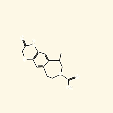 CC1CN(C(=O)O)CCc2cc3c(cc21)NC(=O)CO3